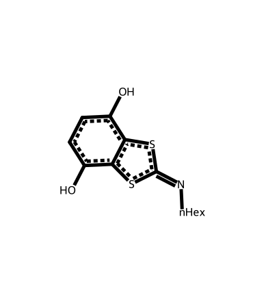 CCCCCCN=c1sc2c(O)ccc(O)c2s1